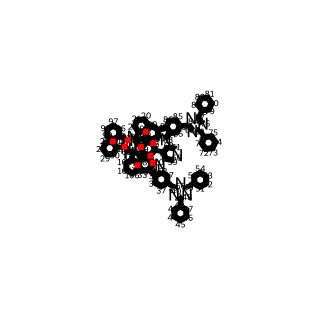 N#Cc1ccccc1-c1c(-n2c3cc(-c4nc(-c5ccccc5)nc(-c5ccccc5)n4)ccc3c3ccc(-c4nc(-c5ccccc5)nc(-c5ccccc5)n4)cc32)cncc1-n1c2cc(-c3nc(-c4ccccc4)nc(-c4ccccc4)n3)ccc2c2ccc(-c3nc(-c4ccccc4)nc(-c4ccccc4)n3)cc21